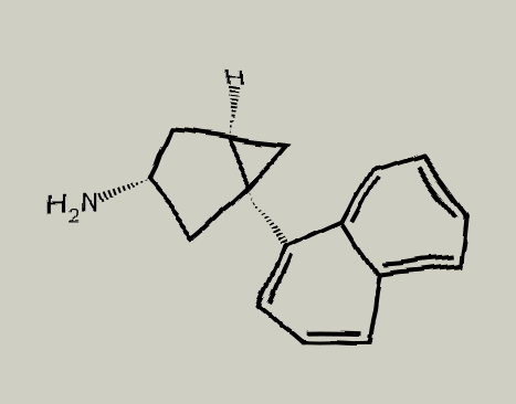 N[C@@H]1C[C@H]2C[C@@]2(c2cccc3ccccc23)C1